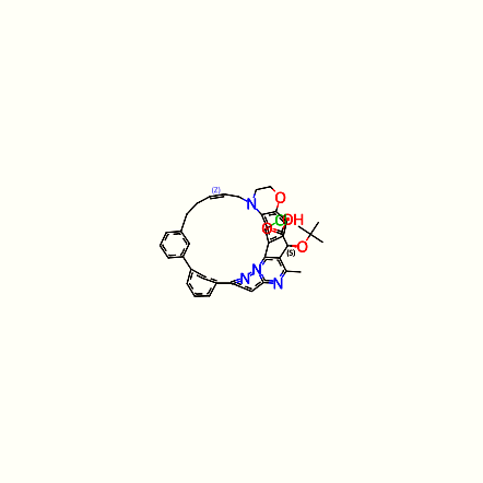 Cc1nc2cc3nn2c(c1[C@H](OC(C)(C)C)C(=O)O)-c1ccc2c(c1Cl)N(C/C=C\CCc1cccc(c1)-c1cccc-3c1)CCO2